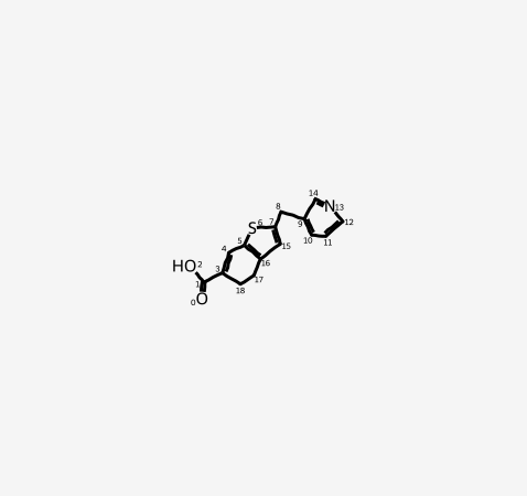 O=C(O)C1=Cc2sc(Cc3cccnc3)cc2CC1